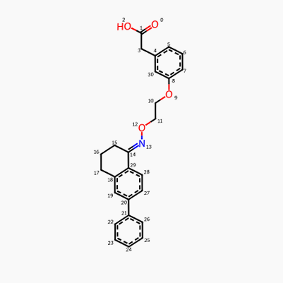 O=C(O)Cc1cccc(OCCON=C2CCCc3cc(-c4ccccc4)ccc32)c1